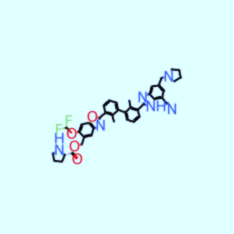 Cc1c(-c2nc3cc(CN4CCCC4)cc(C#N)c3[nH]2)cccc1-c1cccc(-c2nc3cc(COC(=O)[C@@H]4CCCN4)c(OC(F)F)cc3o2)c1C